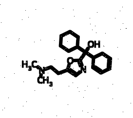 CN(C)CCc1cnc(C(O)(C2C=CC=CC2)C2CCCCC2)o1